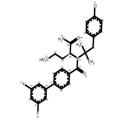 CC(C)(Cc1ccc(Cl)cc1)N(C(=O)c1ccc(-c2cc(F)cc(F)c2)cc1)[C@@H](CCC(=O)O)C(N)=O